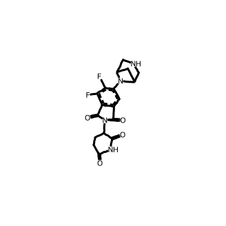 O=C1CCC(N2C(=O)c3cc(N4C5CNCC4C5)c(F)c(F)c3C2=O)C(=O)N1